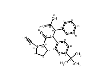 CC(C)(C)c1ccc(N(C(=O)[C@H]2CCCN2C#N)C(C(=O)O)c2cccnc2)cc1